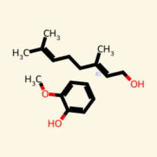 CC(C)=CCC/C(C)=C/CO.COc1ccccc1O